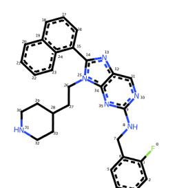 Fc1ccccc1CNc1ncc2nc(-c3cccc4ccccc34)n(CCC3CCNCC3)c2n1